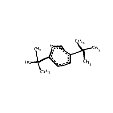 CC(C)(C)c1ccc(C(C)(C)O)nc1